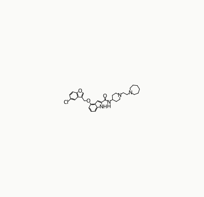 O=C(NC1CCN(CCN2CCCCCC2)CC1)c1cc2c(OCc3coc4ccc(Cl)cc34)cccc2[nH]1